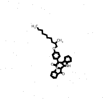 CCCCCCCCC(C)COc1ccc(-c2c(=O)n3c(c4[nH]c5ccccc5c24)C(=O)c2ccccc2-3)cc1